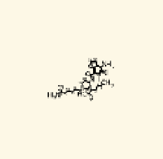 CCCCCC(=O)O.NC(=O)CCCCCN1CCC(NC(=O)c2cc(Cl)c(N)c3c2OCC3)CC1